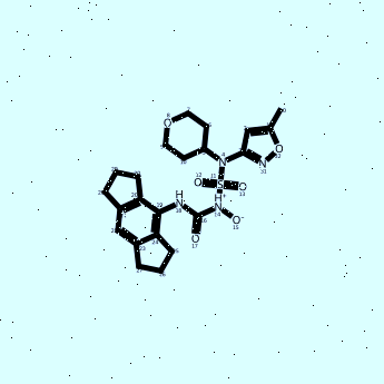 Cc1cc(N(C2CCOCC2)S(=O)(=O)[NH+]([O-])C(=O)Nc2c3c(cc4c2CCC4)CCC3)no1